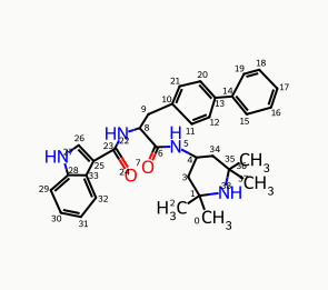 CC1(C)CC(NC(=O)C(Cc2ccc(-c3ccccc3)cc2)NC(=O)c2c[nH]c3ccccc23)CC(C)(C)N1